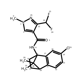 Cn1cc(C(=O)NC23CCC(c4ccc(Cl)cc42)C3(C)C)c(C(F)F)n1